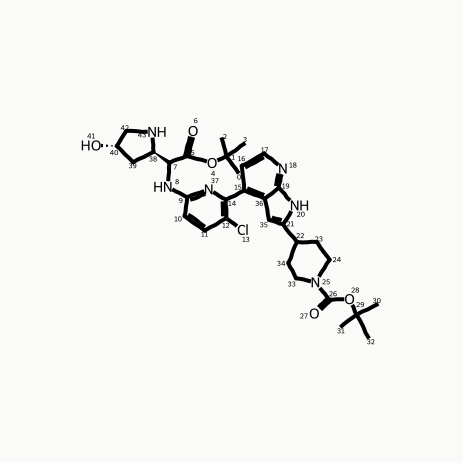 CC(C)(C)OC(=O)C(Nc1ccc(Cl)c(-c2ccnc3[nH]c(C4CCN(C(=O)OC(C)(C)C)CC4)cc23)n1)[C@H]1C[C@H](O)CN1